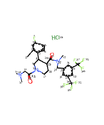 Cc1cc(F)ccc1C1CN(C(=O)CN(C)C)CCC1C(=O)N(C)Cc1cc(C(F)(F)F)cc(C(F)(F)F)c1.Cl